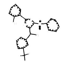 Cc1ccccc1-c1nc(S(=O)(=O)c2ccccc2)c(C(N)c2cccc(C(F)(F)F)c2)o1